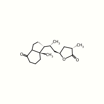 C[C@H](C[C@H]1C[C@H](C)C(=O)O1)[C@H]1CCC2C(=O)CCC[C@]21C